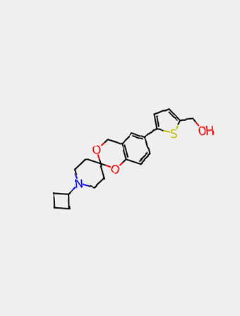 OCc1ccc(-c2ccc3c(c2)COC2(CCN(C4CCC4)CC2)O3)s1